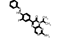 CC(C)n1c(=O)c(-c2ccc(NSc3ccccc3)c(F)c2)nc2cnc(N)nc21